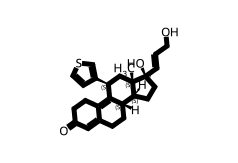 C[C@]12C[C@H](c3ccsc3)C3=C4CCC(=O)C=C4CC[C@H]3[C@@H]1CC[C@@]2(O)C=CCO